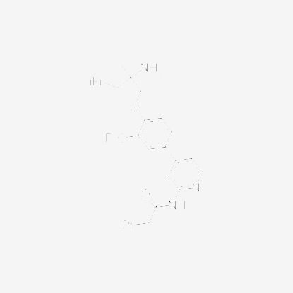 CC(C)CC(=O)Nc1cc(-c2ccc(OCC(C)(N)CC(C)C)c(C(F)(F)F)c2)ccn1